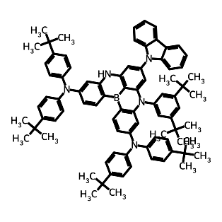 CC(C)(C)c1ccc(N(c2ccc(C(C)(C)C)cc2)c2ccc3c(c2)Nc2cc(-n4c5ccccc5c5ccccc54)cc4c2B3c2ccc(N(c3ccc(C(C)(C)C)cc3)c3ccc(C(C)(C)C)cc3)cc2N4c2cc(C(C)(C)C)cc(C(C)(C)C)c2)cc1